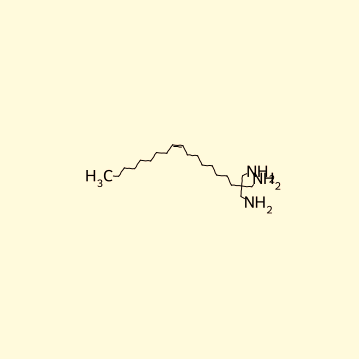 CCCCCCCC/C=C\CCCCCCCC(CN)(CN)CN